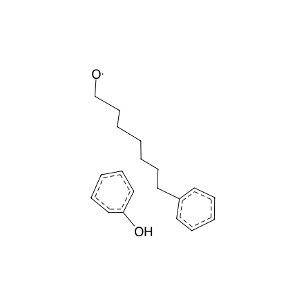 Oc1ccccc1.[O]CCCCCCCc1ccccc1